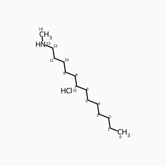 CCCCCCCCCCCCCNC.Cl